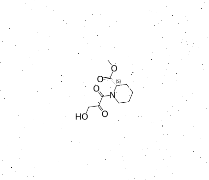 COC(=O)[C@@H]1CCCCN1C(=O)C(=O)CO